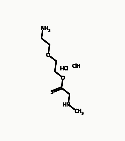 CNCC(=S)OCCOCCN.Cl.Cl